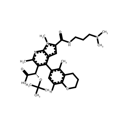 Cc1nc2c(cc(C(=O)NCCCN(C)C)n2C)c(-c2cc(F)c3c(c2C)CCCO3)c1[C@H](OC(C)(C)C)C(=O)O